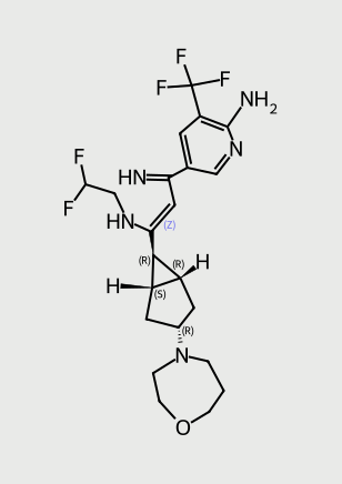 N=C(/C=C(\NCC(F)F)[C@H]1[C@@H]2C[C@H](N3CCCOCC3)C[C@@H]21)c1cnc(N)c(C(F)(F)F)c1